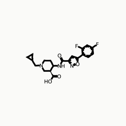 O=C(NC1CCN(CC2CC2)C[C@@H]1C(=O)O)c1cc(-c2ccc(F)cc2F)on1